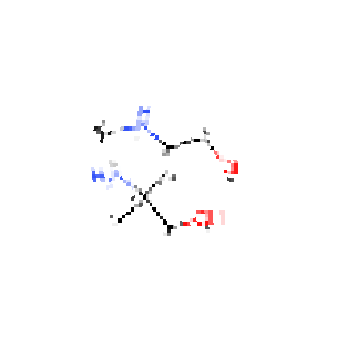 CC(C)(N)CO.CC(C)NCCO